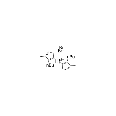 CCCCC1=[C]([Hf+2][C]2=C(CCCC)C(C)=CC2)CC=C1C.[Br-].[Br-]